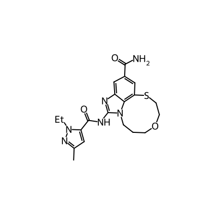 CCn1nc(C)cc1C(=O)Nc1nc2cc(C(N)=O)cc3c2n1CCCOCCS3